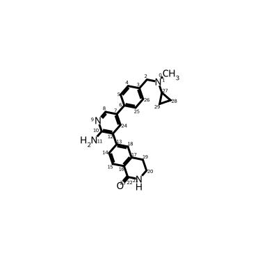 CN(Cc1ccc(-c2cnc(N)c(-c3ccc4c(c3)CCNC4=O)c2)cc1)C1CC1